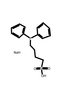 O=S(=O)(O)CCCCP(c1ccccc1)c1ccccc1.[NaH]